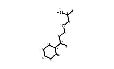 CC(O)COCCC(C)C1CCCCC1